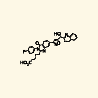 O=C(O)CCCCc1nc2cc(-c3cc(C(O)c4ccc5ccccc5n4)on3)ccc2c(=O)n1-c1ccc(F)cc1